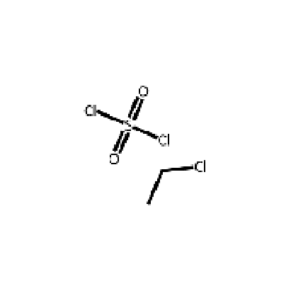 CCCl.O=S(=O)(Cl)Cl